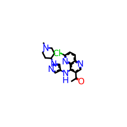 CC(=O)c1cnc2ccc(Cl)nc2c1Nc1cnn(C2CCN(C)CC2)c1